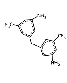 Nc1cc(Cc2cc(N)cc(C(F)(F)F)c2)cc(C(F)(F)F)c1